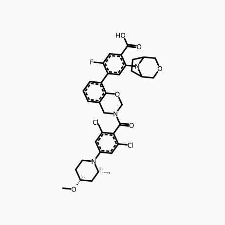 CO[C@@H]1CCN(c2cc(Cl)c(C(=O)N3COc4c(cccc4-c4cc(N5C6CCC5COC6)c(C(=O)O)cc4F)C3)c(Cl)c2)[C@H](C)C1